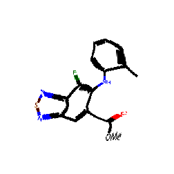 COC(=O)c1cc2nsnc2c(F)c1Nc1ccccc1C